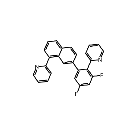 Fc1cc(F)c(-c2ccccn2)c(-c2ccc3cccc(-c4ccccn4)c3c2)c1